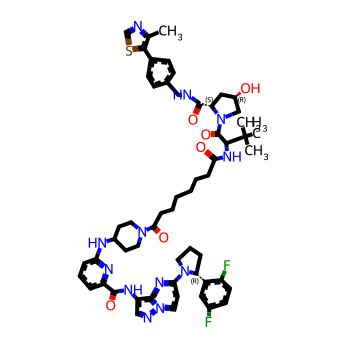 Cc1ncsc1-c1ccc(CNC(=O)[C@@H]2C[C@@H](O)CN2C(=O)C(NC(=O)CCCCCCC(=O)N2CCC(Nc3cccc(C(=O)Nc4cnn5ccc(N6CCC[C@@H]6c6cc(F)ccc6F)nc45)n3)CC2)C(C)(C)C)cc1